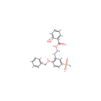 CS(=O)(=O)c1ccc(OCc2ccccc2)c(CCOC(=O)c2ccccc2O)c1